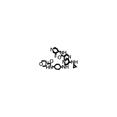 O=C(Nc1ccncc1F)c1cnc2c(NC3CC3)cc(NC3CCC(NC(=O)N4CCOCC4)CC3)nn12